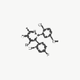 COc1ccc(Cl)c(-n2nc(C)c(=O)c(Br)c2-c2ccc(F)cc2Cl)c1